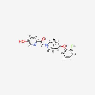 O=C(CN1C[C@H]2C[C@@H](Oc3ccccc3F)C[C@H]2C1)c1ccc(O)cn1